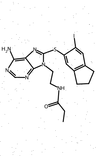 CCC(=O)NCCn1c(Sc2cc3c(cc2I)CCC3)nc2c(N)ncnc21